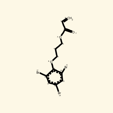 C=CC(=O)OCCCOc1c(Br)cc(Br)cc1Br